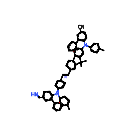 Cc1ccc(N(c2ccc3c(c2)C(C)(C)c2cc(/C=C/c4ccc(N(c5ccc(C)cc5)c5ccc(C=N)cc5-c5ccccc5)cc4)ccc2-3)c2ccc(C#N)cc2-c2ccccc2)cc1